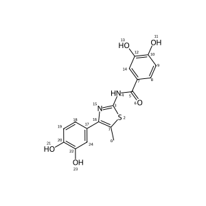 Cc1sc(NC(=O)c2ccc(O)c(O)c2)nc1-c1ccc(O)c(O)c1